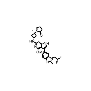 COc1nc(N[C@H]2C[C@](C)(N3CCCC3=O)C2)nc2[nH]cc(-c3ccc4nc(C)n(CC(F)F)c4c3)c12